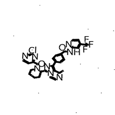 Cc1nccn2c(C3CCCCN3C(=O)c3ccnc(Cl)n3)nc(-c3ccc(C(=O)Nc4cc(C(F)(F)F)ccn4)cc3)c12